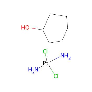 OC1CCCCC1.[NH2][Pt]([NH2])([Cl])[Cl]